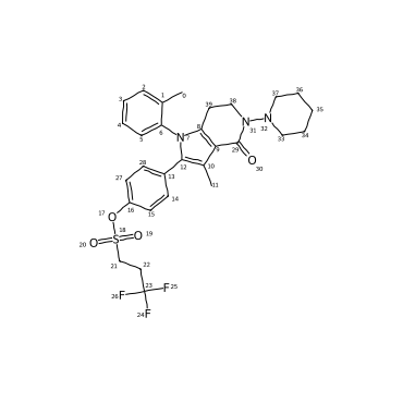 Cc1ccccc1-n1c2c(c(C)c1-c1ccc(OS(=O)(=O)CCC(F)(F)F)cc1)C(=O)N(N1CCCCC1)CC2